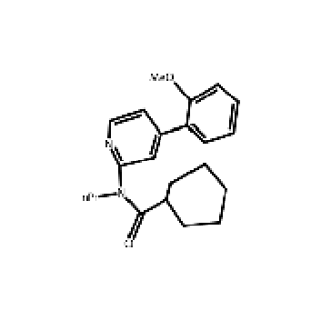 C[CH]CN(C(=O)C1CCCCC1)c1cc(-c2ccccc2OC)ccn1